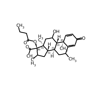 CCCC(=O)O[C@]1(C(C)=O)C(C)C[C@H]2[C@@H]3CC(C)C4=CC(=O)C=C[C@]4(C)[C@H]3C(O)C[C@@]21C